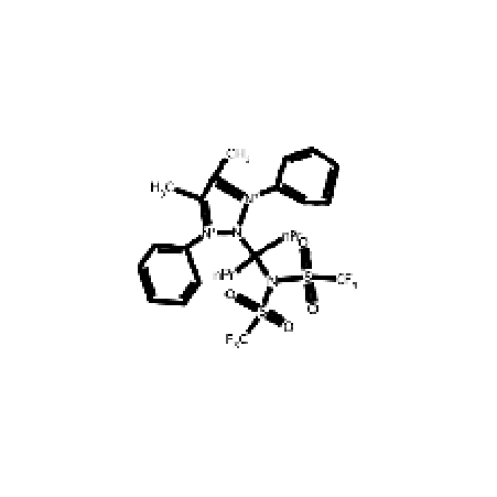 CCCC(CCC)(N(S(=O)(=O)C(F)(F)F)S(=O)(=O)C(F)(F)F)n1[n+](-c2ccccc2)c(C)c(C)[n+]1-c1ccccc1